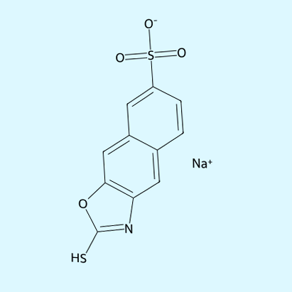 O=S(=O)([O-])c1ccc2cc3nc(S)oc3cc2c1.[Na+]